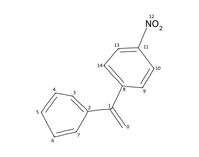 C=C(c1ccccc1)c1ccc([N+](=O)[O-])cc1